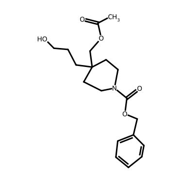 CC(=O)OCC1(CCCO)CCN(C(=O)OCc2ccccc2)CC1